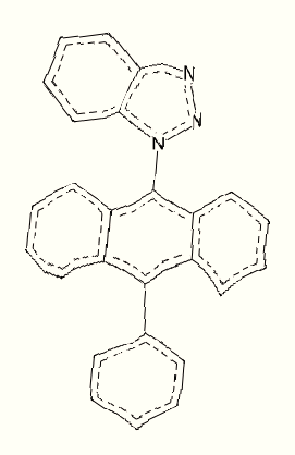 c1ccc(-c2c3ccccc3c(-n3nnc4ccccc43)c3ccccc23)cc1